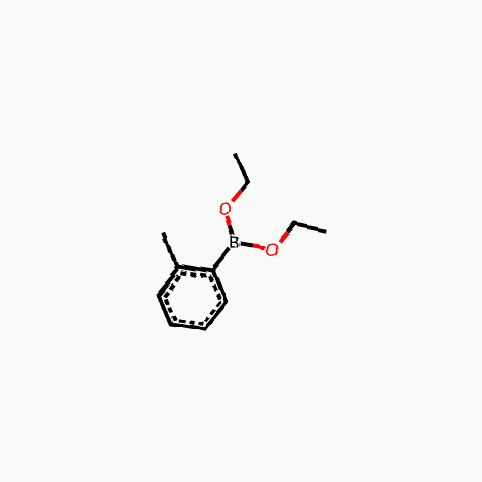 CCOB(OCC)c1ccccc1C